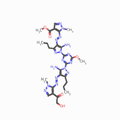 CCCc1nn(-c2nc(OC)nc(-n3nc(CCC)c(/N=N/c4c(C(=O)OC)cnn4C)c3N)n2)c(N)c1/N=N/c1c(C(=O)CO)cnn1C